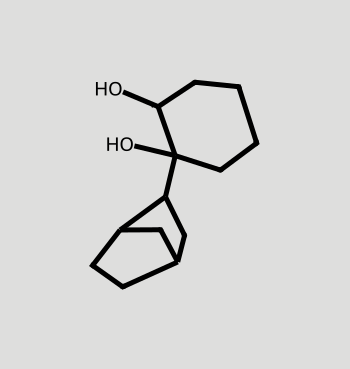 O[C]1CCCCC1(O)C1CC2CCC1C2